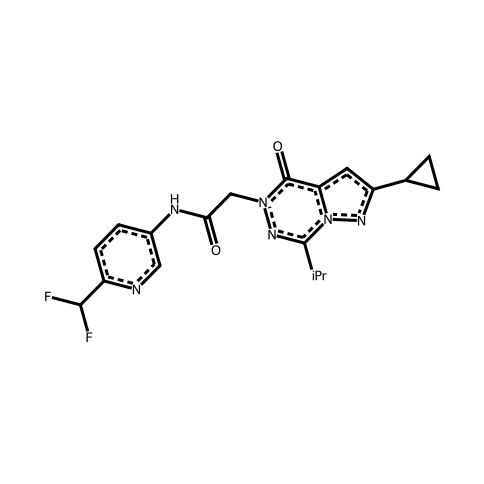 CC(C)c1nn(CC(=O)Nc2ccc(C(F)F)nc2)c(=O)c2cc(C3CC3)nn12